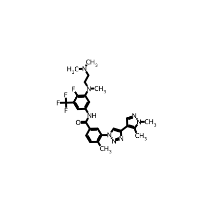 Cc1ccc(C(=O)Nc2cc(N(C)CCN(C)C)c(F)c(C(F)(F)F)c2)cc1-n1cc(-c2cnn(C)c2C)nn1